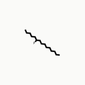 CCCCCCCCC[C](F)CCCCC